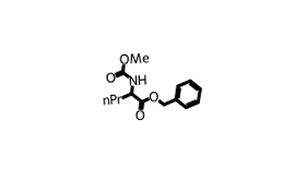 CCCC(NC(=O)OC)C(=O)OCc1ccccc1